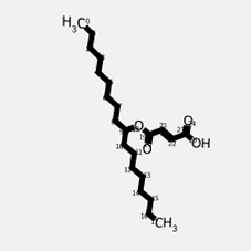 CCCCCCCCCC(CCCCCCCC)OC(=O)C=CC(=O)O